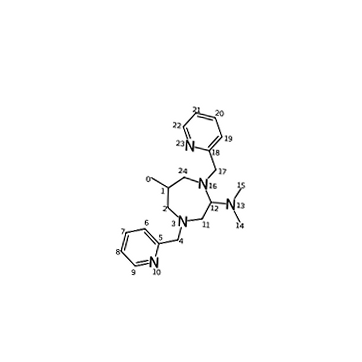 CC1CN(Cc2ccccn2)CC(N(C)C)N(Cc2ccccn2)C1